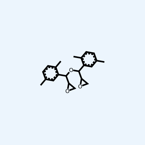 Cc1ccc(C)c(C(OC(c2cc(C)ccc2C)C2CO2)C2CO2)c1